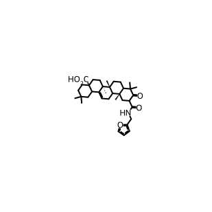 CC1(C)CC[C@]2(C(=O)O)CC[C@]3(C)C(=CCC4[C@@]5(C)CC(C(=O)NCc6ccco6)C(=O)C(C)(C)C5CC[C@]43C)C2C1